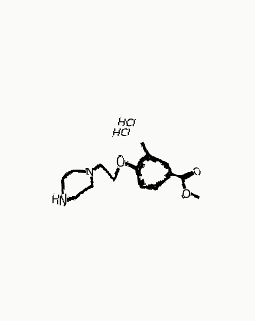 COC(=O)c1ccc(OCCN2CCNCC2)c(C)c1.Cl.Cl